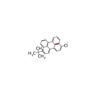 CC(C)(C)c1ccc(-c2ccc(Cl)cc2)c2c(-c3ccccc3)cccc12